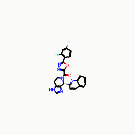 O=C(c1nnc(-c2ccc(F)cc2F)o1)N1CCc2[nH]cnc2[C@@H]1c1ccc2ccccc2n1